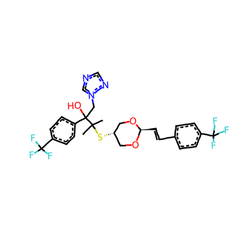 CC(C)(S[C@H]1CO[C@H](C=Cc2ccc(C(F)(F)F)cc2)OC1)C(O)(Cn1cncn1)c1ccc(C(F)(F)F)cc1